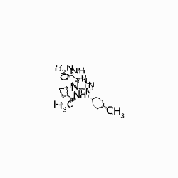 C[C@@H](Nc1nc(C(=O)NN)nc2ncn(C[C@H]3CC[C@H](C)CC3)c12)C1CCC1